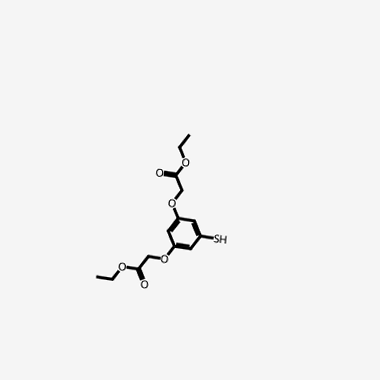 CCOC(=O)COc1cc(S)cc(OCC(=O)OCC)c1